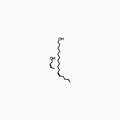 C/C=C\CO.CCCC/C=C\CCCCCCCCCCO